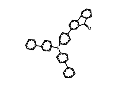 O=C1c2ccccc2-c2ccc(-c3ccc(N(c4ccc(-c5ccccc5)cc4)c4ccc(-c5ccccc5)cc4)cc3)cc21